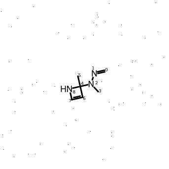 C=NN(C)C1(C)C=CN1